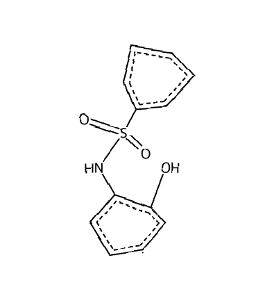 O=S(=O)(Nc1cc[c]cc1O)c1ccccc1